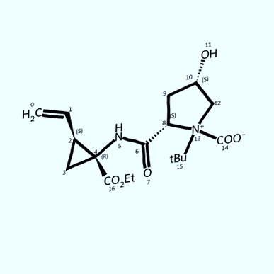 C=C[C@@H]1C[C@]1(NC(=O)[C@@H]1C[C@H](O)C[N+]1(C(=O)[O-])C(C)(C)C)C(=O)OCC